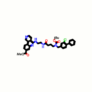 COC(=O)c1ccc2c(c1)nc(NCCNC(=O)CCCN(Cc1ccc(-c3ccccc3)c(Cl)c1)C(=O)OC(C)(C)C)c1ccncc12